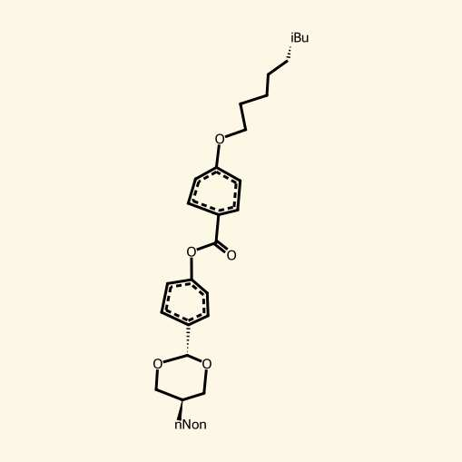 CCCCCCCCC[C@H]1CO[C@H](c2ccc(OC(=O)c3ccc(OCCCCC[C@@H](C)CC)cc3)cc2)OC1